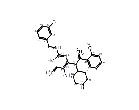 C=C/C(N)=C(\N=C(/N)NCc1cccc(F)c1)N(C(=C)c1ccccc1Cl)C1CCNCC1